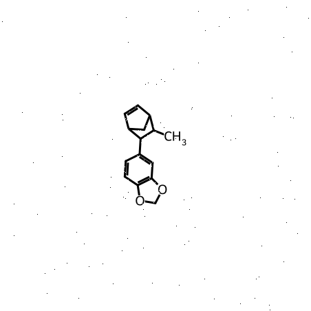 CC1C2C=CC(C2)C1c1ccc2c(c1)OCO2